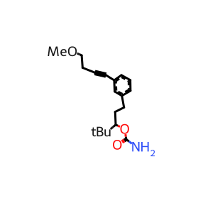 COCCC#Cc1cccc(CCC(OC(N)=O)C(C)(C)C)c1